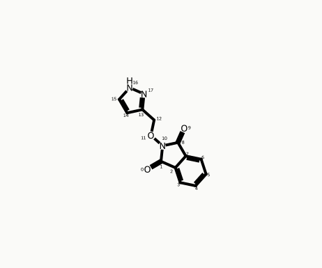 O=C1c2ccccc2C(=O)N1OCc1cc[nH]n1